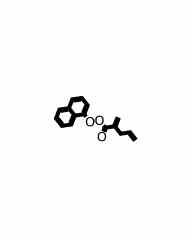 C=CCC(=C)C(=O)OOc1cccc2ccccc12